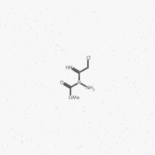 COC(=O)N(N)C(=N)CCl